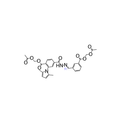 CC(=O)OCOC(=O)c1cccc(/C=N/NC(=O)c2ccc(C(=O)OCOC(C)=O)c(-n3c(C)ccc3C)c2)c1